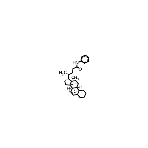 C[C@H](CCC(=O)Nc1ccccc1)[C@H]1CC[C@H]2[C@@H]3CCC4CCCC[C@]4(C)[C@H]3CC[C@]12C